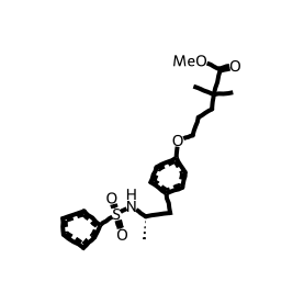 COC(=O)C(C)(C)CCCOc1ccc(C[C@H](C)NS(=O)(=O)c2ccccc2)cc1